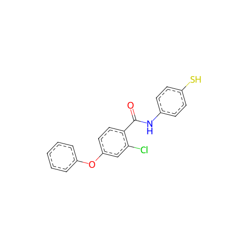 O=C(Nc1ccc(S)cc1)c1ccc(Oc2ccccc2)cc1Cl